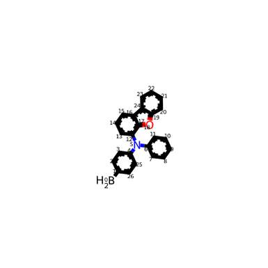 Bc1ccc(N(c2ccccc2)c2cccc3c2oc2ccccc23)cc1